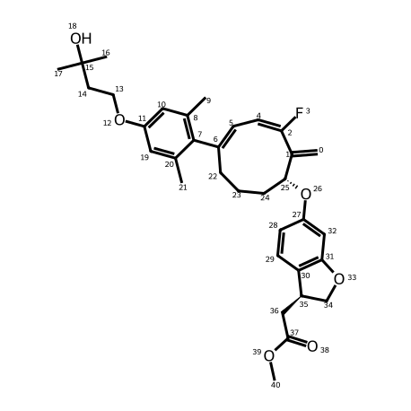 C=C1/C(F)=C\C=C(\c2c(C)cc(OCCC(C)(C)O)cc2C)CCC[C@H]1Oc1ccc2c(c1)OC[C@H]2CC(=O)OC